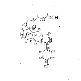 CCOCC1COC2(CCCC3=Cc4c(cnn4-c4ccc(F)cc4)C[C@@]32C)O1